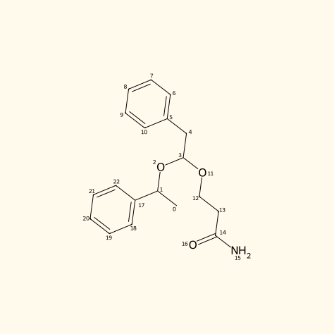 CC(OC(Cc1ccccc1)OCCC(N)=O)c1ccccc1